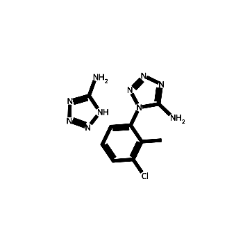 Cc1c(Cl)cccc1-n1nnnc1N.Nc1nnn[nH]1